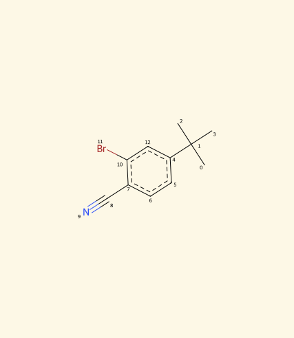 CC(C)(C)c1ccc(C#N)c(Br)c1